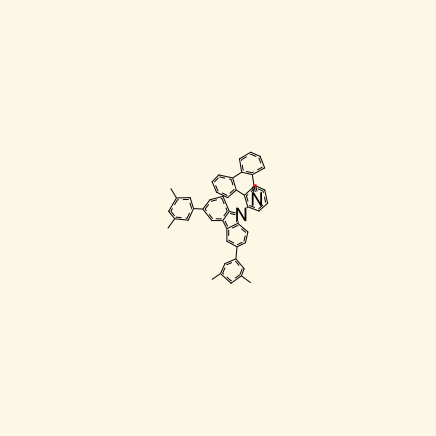 Cc1cc(C)cc(-c2ccc3c(c2)c2cc(-c4cc(C)cc(C)c4)ccc2n3-c2ccccc2-c2ccccc2-c2ccccc2C#N)c1